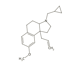 C=CCC12CCN(CC3CC3)C1CCc1ccc(OC)cc12